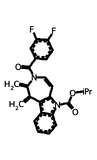 C=C1C(=C)N(C(=O)c2ccc(F)c(F)c2)C=Cc2c1c1ccccc1n2C(=O)OC(C)C